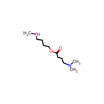 CPCCCCOC(=O)CCCN(C)C